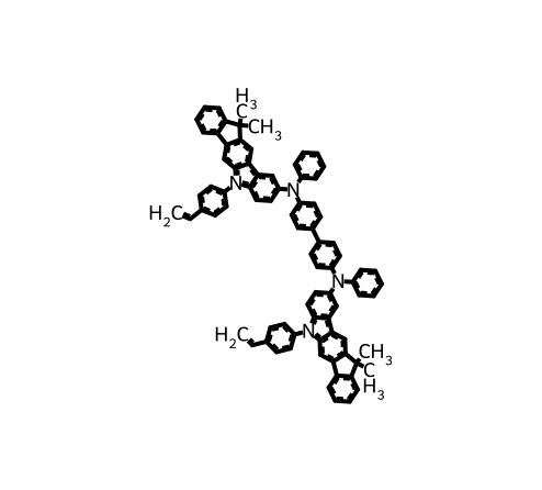 C=Cc1ccc(-n2c3ccc(N(c4ccccc4)c4ccc(-c5ccc(N(c6ccccc6)c6ccc7c(c6)c6cc8c(cc6n7-c6ccc(C=C)cc6)-c6ccccc6C8(C)C)cc5)cc4)cc3c3cc4c(cc32)-c2ccccc2C4(C)C)cc1